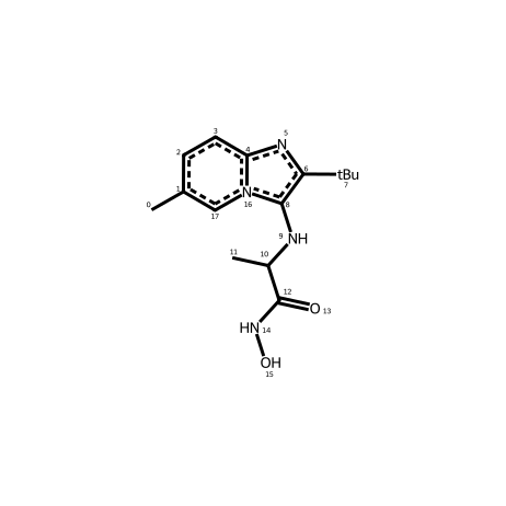 Cc1ccc2nc(C(C)(C)C)c(NC(C)C(=O)NO)n2c1